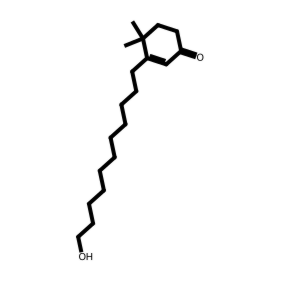 CC1(C)CCC(=O)C=C1CCCCCCCCCCCO